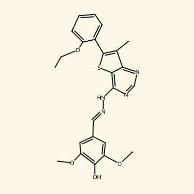 CCOc1ccccc1-c1sc2c(NN=Cc3cc(OC)c(O)c(OC)c3)ncnc2c1C